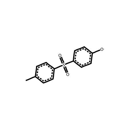 Cc1ccc(S(=O)(=O)c2ccc([O])cc2)cc1